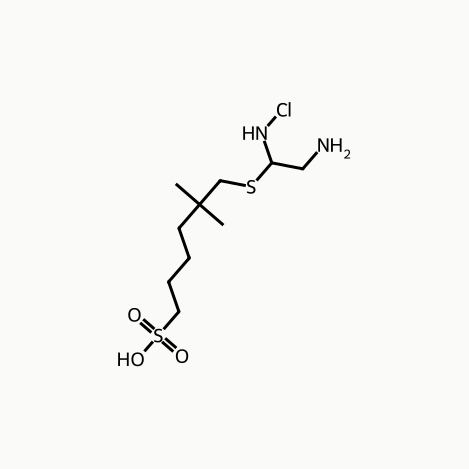 CC(C)(CCCCS(=O)(=O)O)CSC(CN)NCl